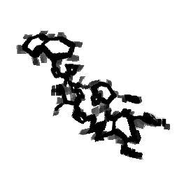 C#C[C@H]1C[C@@H](CO[P@](=O)(N[C@H](C)C(=O)OCC(C)(C)C)Oc2cccc3ccccc23)O[C@H]1n1cnc2c(NC)nc(N)nc21